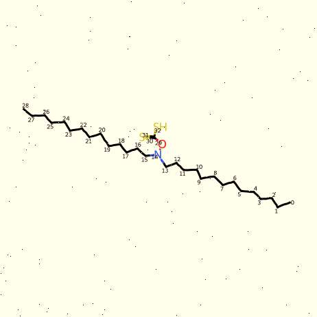 CCCCCCCCCCCCCCN(CCCCCCCCCCCCCC)OC(=S)S